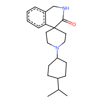 CC(C)C1CCC(N2CCC3(CC2)C(=O)NCc2ccccc23)CC1